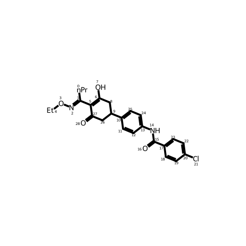 CCCC(=NOCC)C1=C(O)CC(c2ccc(NC(=O)c3ccc(Cl)cc3)cc2)CC1=O